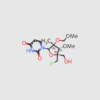 COCO[C@@]1(C)C(n2ccc(=O)[nH]c2=O)O[C@@](CO)(CF)[C@H]1OC